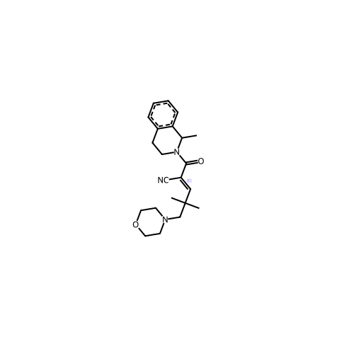 CC1c2ccccc2CCN1C(=O)/C(C#N)=C/C(C)(C)CN1CCOCC1